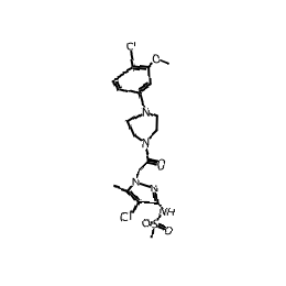 COc1cc(N2CCN(C(=O)Cn3nc(NS(C)(=O)=O)c(Cl)c3C)CC2)ccc1Cl